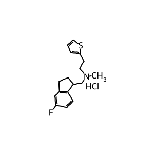 CN(CCc1cccs1)CC1CCc2cc(F)ccc21.Cl